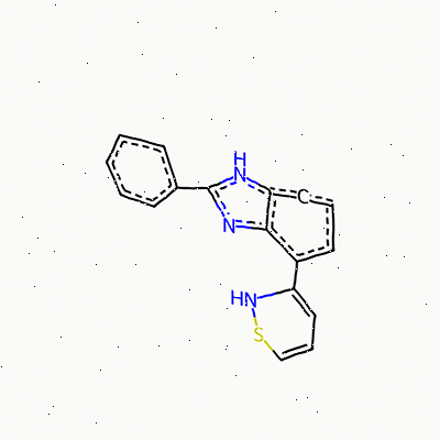 C1=CSNC(c2cccc3[nH]c(-c4ccccc4)nc23)=C1